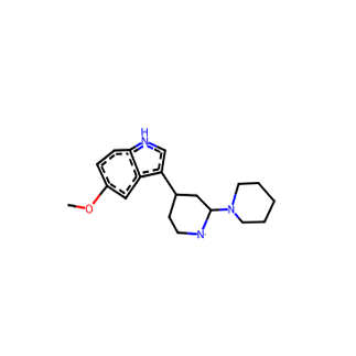 COc1ccc2[nH]cc(C3CC[N]C(N4CCCCC4)C3)c2c1